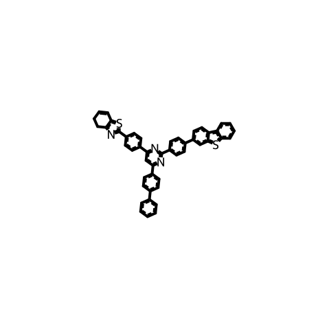 C1=Cc2sc(-c3ccc(-c4cc(-c5ccc(-c6ccccc6)cc5)nc(-c5ccc(-c6ccc7c(c6)sc6ccccc67)cc5)n4)cc3)nc2CC1